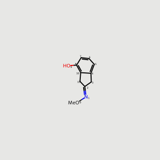 CON=C1Cc2cccc(O)c2C1